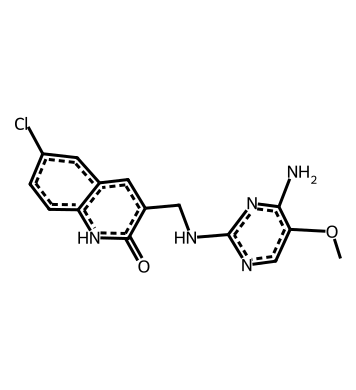 COc1cnc(NCc2cc3cc(Cl)ccc3[nH]c2=O)nc1N